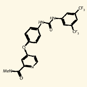 CNC(=O)c1cc(Oc2ccc(NC(=O)Nc3cc(C(F)(F)F)cc(C(F)(F)F)c3)cc2)ccn1